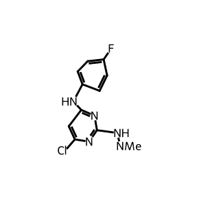 CNNc1nc(Cl)cc(Nc2ccc(F)cc2)n1